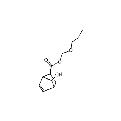 CCCOCOC(=O)C1CC2C=CC1C2O